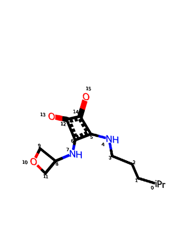 CC(C)CCCNc1c(NC2COC2)c(=O)c1=O